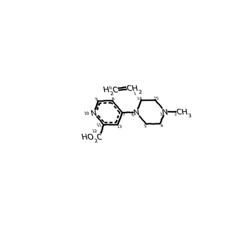 C=C.CN1CCN(c2ccnc(C(=O)O)c2)CC1